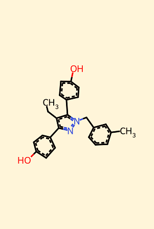 CCc1c(-c2ccc(O)cc2)nn(Cc2cccc(C)c2)c1-c1ccc(O)cc1